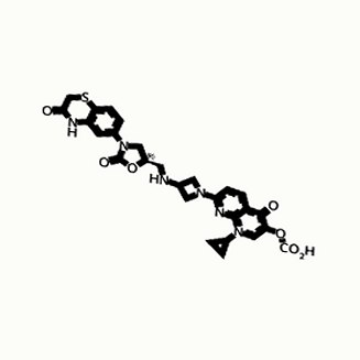 O=C1CSc2ccc(N3C[C@@H](CNC4CN(c5ccc6c(=O)c(OC(=O)O)cn(C7CC7)c6n5)C4)OC3=O)cc2N1